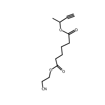 C#CC(C)OC(=O)CCCCC(=O)OCCC#N